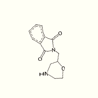 O=C1c2ccccc2C(=O)N1CC1CNCCO1